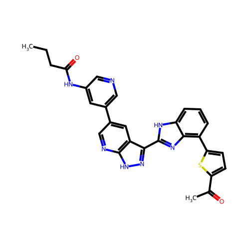 CCCC(=O)Nc1cncc(-c2cnc3[nH]nc(-c4nc5c(-c6ccc(C(C)=O)s6)cccc5[nH]4)c3c2)c1